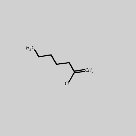 C=C(Cl)CCCCC